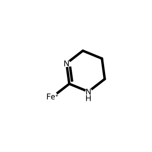 [Fe+][C]1=NCCCN1